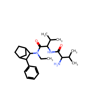 CCN(C(=O)C(NC(=O)C(N)C(C)C)C(C)C)C1C2CCC(C2)C1c1ccccc1